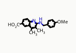 COc1ccc(CNc2nc3ccc(C(=O)O)cc3c(C)c2C)cc1